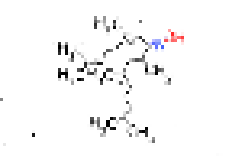 C=C(C[C@@H](C)CCC=C(C)C)/C(C[C@@H](C)CCC=C(C)C)=N/O